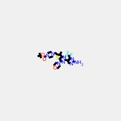 Cc1c(CN2CCN(C(=O)OC(C)(C)C)CC2)sc2c(N3CCOCC3)nc(-c3cnc(N)nc3C(F)(F)F)nc12